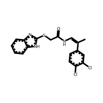 C/C(=C/NC(=O)CSc1nc2ccccc2[nH]1)c1ccc(Cl)c(Cl)c1